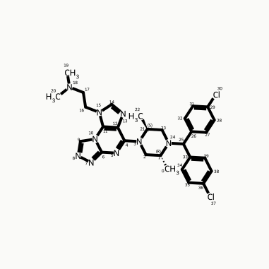 C[C@@H]1CN(c2nc3nncn3c3c2ncn3CCN(C)C)[C@@H](C)CN1C(c1ccc(Cl)cc1)c1ccc(Cl)cc1